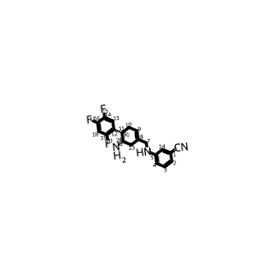 N#Cc1cccc(NCC2=CC[C@H](c3cc(F)c(F)cc3F)[C@@H](N)C2)c1